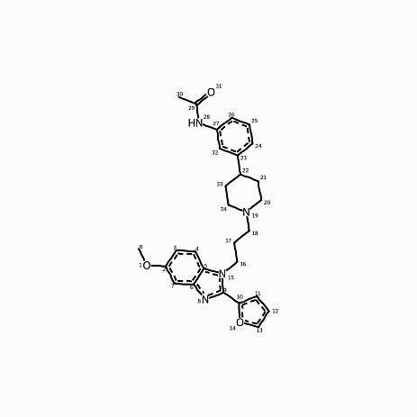 COc1ccc2c(c1)nc(-c1ccco1)n2CCCN1CCC(c2cccc(NC(C)=O)c2)CC1